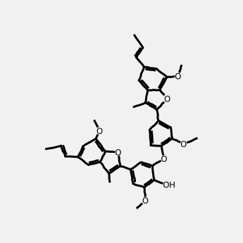 CC=Cc1cc(OC)c2oc(-c3ccc(Oc4cc(-c5oc6c(OC)cc(C=CC)cc6c5C)cc(OC)c4O)c(OC)c3)c(C)c2c1